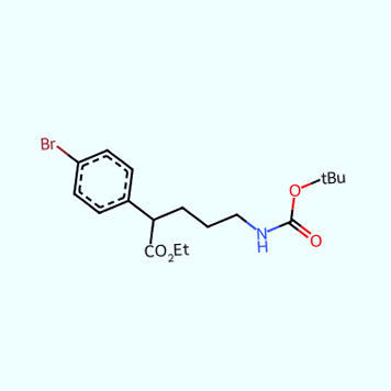 CCOC(=O)C(CCCNC(=O)OC(C)(C)C)c1ccc(Br)cc1